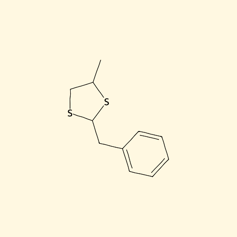 CC1CSC(Cc2ccccc2)S1